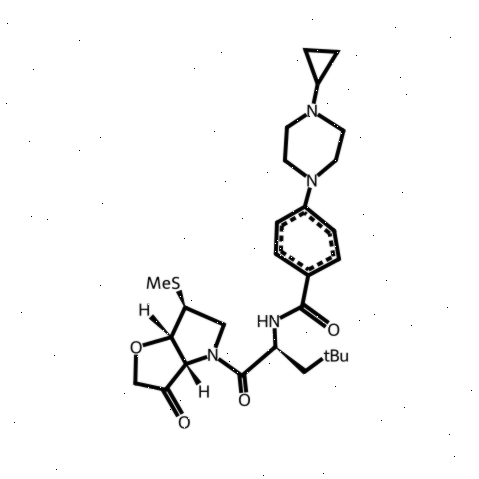 CS[C@H]1CN(C(=O)[C@H](CC(C)(C)C)NC(=O)c2ccc(N3CCN(C4CC4)CC3)cc2)[C@@H]2C(=O)CO[C@H]12